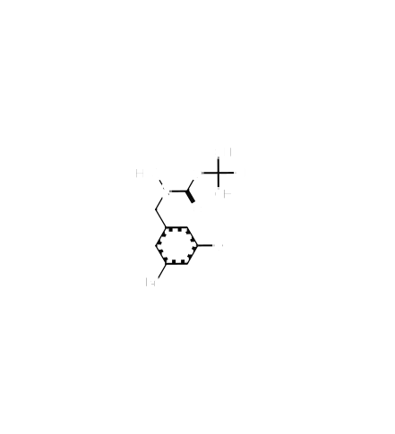 CN(Cc1cc(O)cc(Br)c1)C(=O)OC(C)(C)C